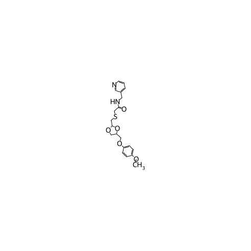 COc1ccc(OCC2COC(CSCC(=O)NCc3cccnc3)O2)cc1